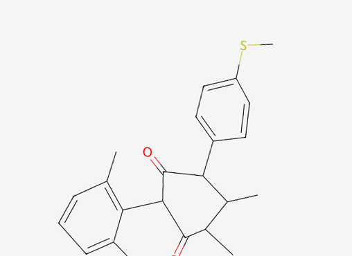 CSc1ccc(C2C(=O)C(c3c(C)cccc3C)C(=O)C(C)C2C)cc1